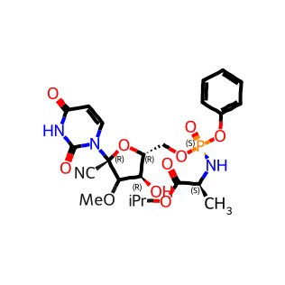 COC1[C@H](O)[C@@H](CO[P@@](=O)(N[C@@H](C)C(=O)OC(C)C)Oc2ccccc2)O[C@@]1(C#N)n1ccc(=O)[nH]c1=O